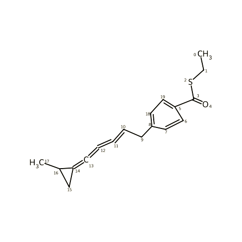 CCSC(=O)c1ccc(CC=C=C=C=C2CC2C)cc1